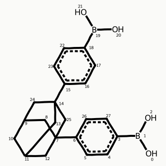 OB(O)c1ccc(C23CC4CC(C2)CC(c2ccc(B(O)O)cc2)(C4)C3)cc1